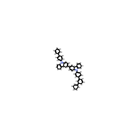 C1=CC2=C(CC1)C1CC(C3=CC4C5=C(CCC=C5)N(c5ccc(C6=CC(C7=CCCCC7)CC=C6)cc5)C4C=C3)=CC=C1N2c1ccc(-c2ccccc2)cc1